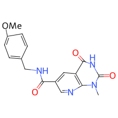 COc1ccc(CNC(=O)c2cnc3c(c2)c(=O)[nH]c(=O)n3C)cc1